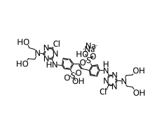 O=S(=O)(O)c1cc(Nc2nc(Cl)nc(N(CCO)CCO)n2)ccc1C=Cc1ccc(Nc2nc(Cl)nc(N(CCO)CCO)n2)cc1S(=O)(=O)O.[Na].[Na]